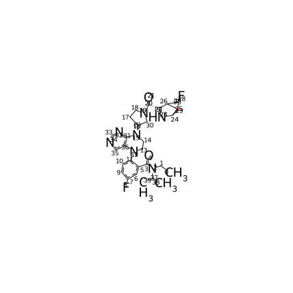 CCN(C(=O)c1cc(F)ccc1N1CCN([C@H]2CCN(C(=O)[C@H]3NC4CC3[C@H](F)C4)C2)c2ncncc21)C(C)C